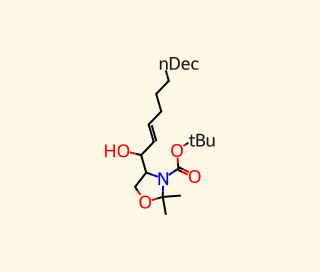 CCCCCCCCCCCCCC=CC(O)C1COC(C)(C)N1C(=O)OC(C)(C)C